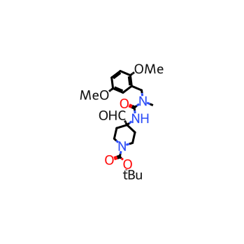 COc1ccc(OC)c(CN(C)C(=O)NC2(C=O)CCN(C(=O)OC(C)(C)C)CC2)c1